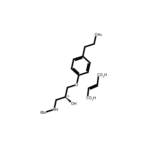 CC(=O)OCCc1ccc(OC[C@@H](O)CNC(C)(C)C)cc1.O=C(O)C=CC(=O)O